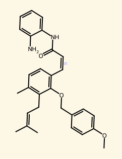 COc1ccc(COc2c(/C=C\C(=O)Nc3ccccc3N)ccc(C)c2CC=C(C)C)cc1